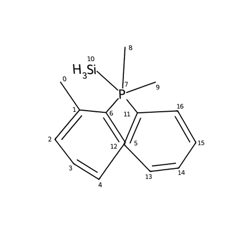 Cc1ccccc1P(C)(C)([SiH3])c1ccccc1